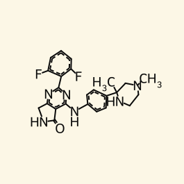 CN1CCNC(C)(c2ccc(Nc3nc(-c4c(F)cccc4F)nc4c3C(=O)NC4)cc2)C1